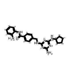 Nc1nc(NCc2ccc(C(=O)Nc3ccccc3N)cc2)nc(NC2CCCC2)n1